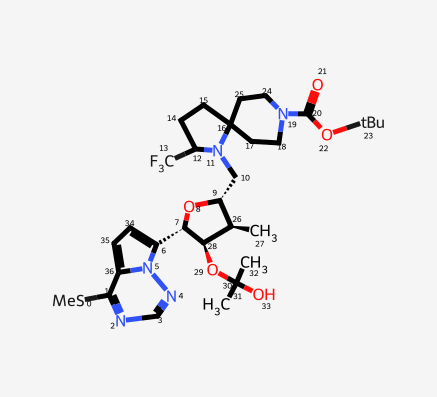 CSc1ncnn2c([C@@H]3O[C@H](CN4C(C(F)(F)F)CCC45CCN(C(=O)OC(C)(C)C)CC5)[C@@H](C)[C@H]3OC(C)(C)O)ccc12